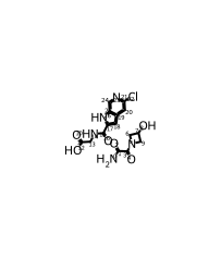 NC(=O)C(=O)N1CC(O)C1.O=C(O)CNC(=O)c1cc2cc(Cl)ncc2[nH]1